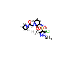 Cc1nn(C)c(Cl)c1S(=O)(=O)N[C@H]1CCCN(CC(=O)N2CCCC2)C1=O